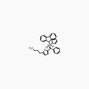 CCCCc1ccc([C](c2ccccc2)=[Hf]([Cl])([Cl])([CH]2C=CC=C2)[CH]2c3ccccc3-c3ccccc32)s1